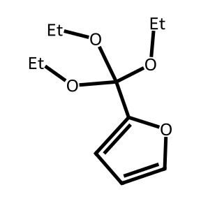 CCOC(OCC)(OCC)c1ccco1